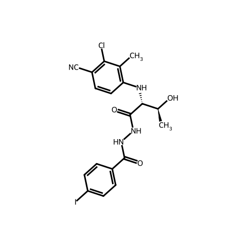 Cc1c(N[C@@H](C(=O)NNC(=O)c2ccc(I)cc2)[C@H](C)O)ccc(C#N)c1Cl